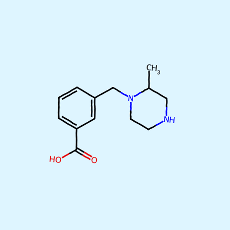 CC1CNCCN1Cc1cccc(C(=O)O)c1